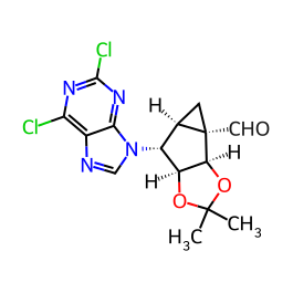 CC1(C)O[C@H]2[C@H](n3cnc4c(Cl)nc(Cl)nc43)[C@H]3C[C@@]3(C=O)[C@H]2O1